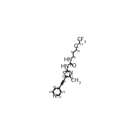 Cc1nc(NC(=O)NCCCOCC(F)(F)F)sc1C#Cc1ccncc1